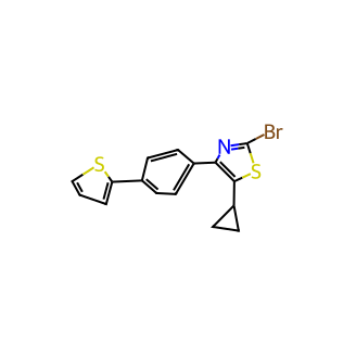 Brc1nc(-c2ccc(-c3cccs3)cc2)c(C2CC2)s1